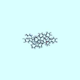 C=C/C=C\c1c(C)n(-c2cccc3c2oc2c([Si](c4ccccc4)(c4ccccc4)c4nccc5c4sc4c(-n6c7ccccc7c7ccccc76)cccc45)nccc23)c2ccccc12